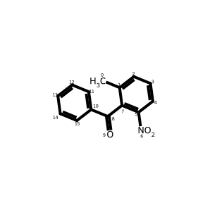 Cc1cccc([N+](=O)[O-])c1C(=O)c1ccccc1